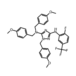 COc1ccc(CN(Cc2ccc(OC)cc2)c2nc(Nc3cc(C(F)(F)F)ccc3F)nn2Cc2ccc(OC)cc2)cc1